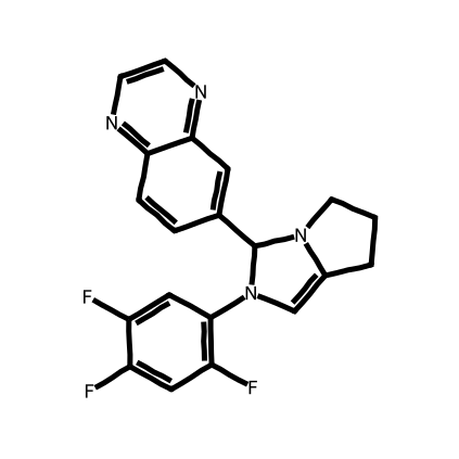 Fc1cc(F)c(N2C=C3CCCN3C2c2ccc3nccnc3c2)cc1F